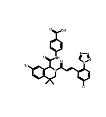 CC1(C)CN(C(=O)/C=C/c2cc(Cl)ccc2-n2cnnn2)C(C(=O)Nc2ccc(C(=O)O)cc2)c2cc(Br)ccc21